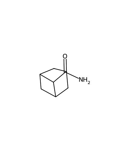 NC(=O)C1C2CCCC1C2